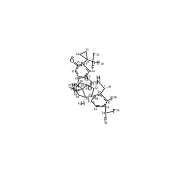 C[C@@H](NC(=O)c1cn(C2(C(F)(F)F)CC2)c(=O)cc1N[C@@H]1[C@@H]2CC[C@H]1CN(C)C2)c1cccc(C(F)F)c1F